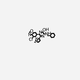 Cn1ccc(-c2nc(NCc3ccccc3)c(O)nc2-c2cc(Cl)c3ncoc3c2)n1